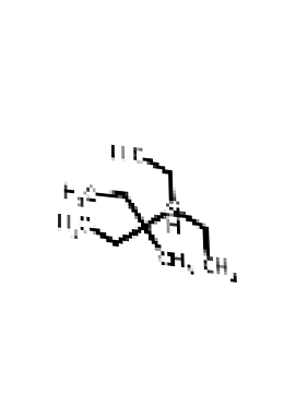 CC[SiH](CC)C(C)(CC)CC